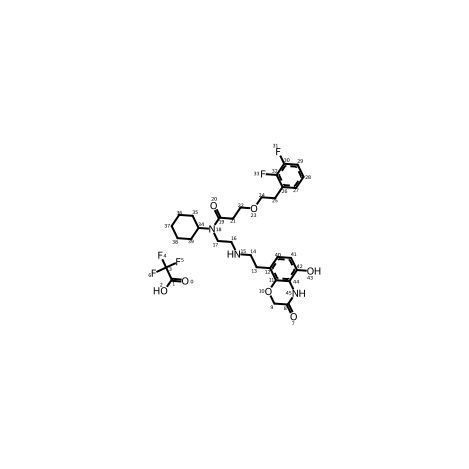 O=C(O)C(F)(F)F.O=C1COc2c(CCNCCN(C(=O)CCOCCc3cccc(F)c3F)C3CCCCC3)ccc(O)c2N1